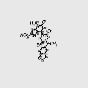 CC[C@H]1CN(C(C)c2ccc3c(c2)CCO3)[C@H](CC)CN1c1cc(=O)n(C)c2cn(CC#N)nc12